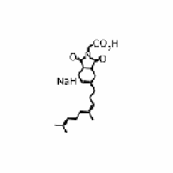 CC(C)=CCCC(C)=CCCC1=CCC2C(=O)N(CC(=O)O)C(=O)C2C1.[NaH]